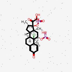 C[C@H]1C[C@H]2[C@@H]3CCC4=CC(=O)C=C[C@]4(C)[C@@]3(Cl)[C@@H](O[PH](=O)O)C[C@]2(C)[C@@]1(O[PH](=O)O)C(=O)CO